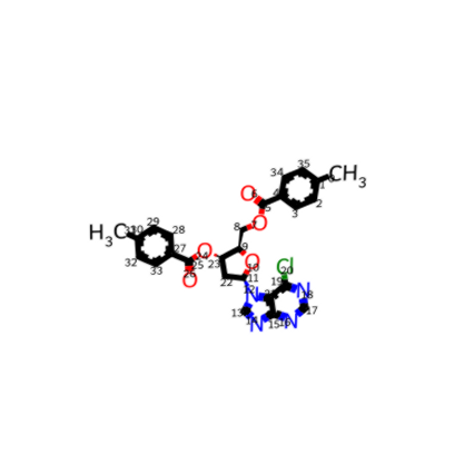 Cc1ccc(C(=O)OC[C@H]2O[C@@H](n3cnc4ncnc(Cl)c43)C[C@@H]2OC(=O)c2ccc(C)cc2)cc1